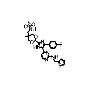 CC1(CNS(C)(=O)=O)COC(c2nc(-c3ccc(F)cc3)c(-c3ccnc(NCc4cccs4)n3)[nH]2)OC1